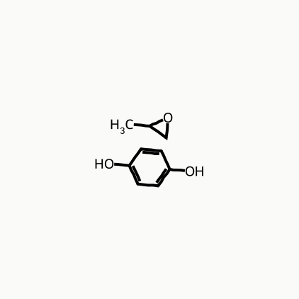 CC1CO1.Oc1ccc(O)cc1